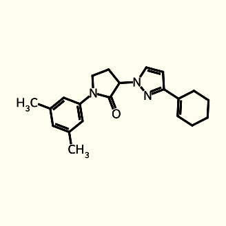 Cc1cc(C)cc(N2CCC(n3ccc(C4=CCCCC4)n3)C2=O)c1